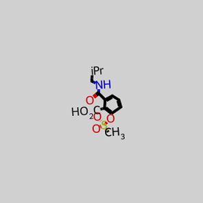 CC(C)CNC(=O)c1cccc(OS(C)(=O)=O)c1C(=O)O